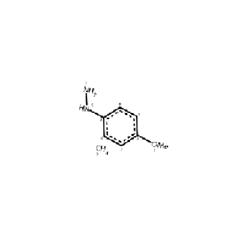 C.COc1ccc(NN)cc1